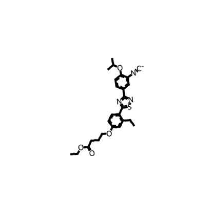 [C-]#[N+]c1cc(-c2nsc(-c3ccc(OCCCC(=O)OCC)cc3CC)n2)ccc1OC(C)C